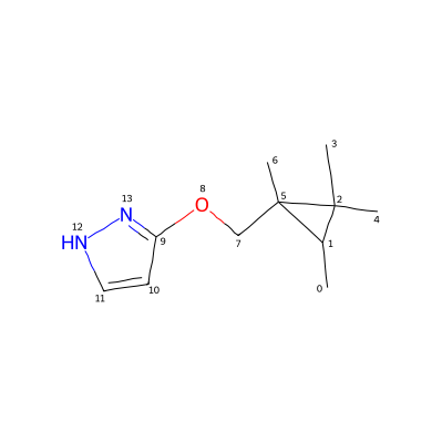 CC1C(C)(C)C1(C)COc1cc[nH]n1